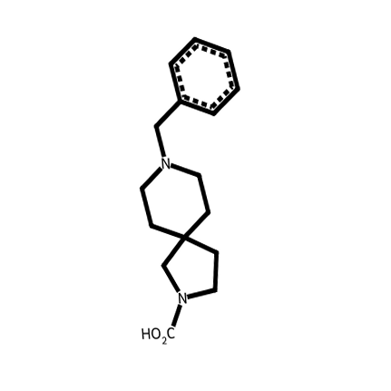 O=C(O)N1CCC2(CCN(Cc3ccccc3)CC2)C1